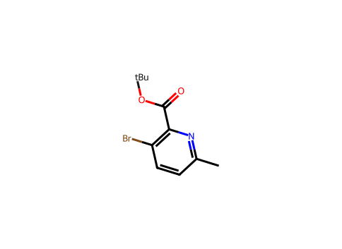 Cc1ccc(Br)c(C(=O)OC(C)(C)C)n1